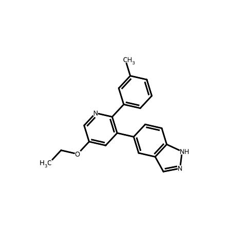 CCOc1cnc(-c2cccc(C)c2)c(-c2ccc3[nH]ncc3c2)c1